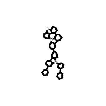 c1ccc(-c2cccc(-n3c4ccc(-c5ccc6c(c5)c5ccccc5n6-c5cccc6oc7ccccc7c56)cc4c4ccc(-c5ccccc5)cc43)c2)cc1